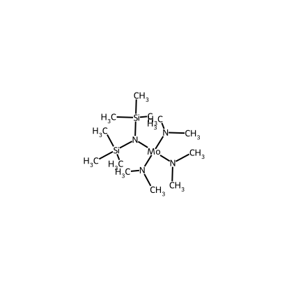 C[N](C)[Mo]([N](C)C)([N](C)C)[N]([Si](C)(C)C)[Si](C)(C)C